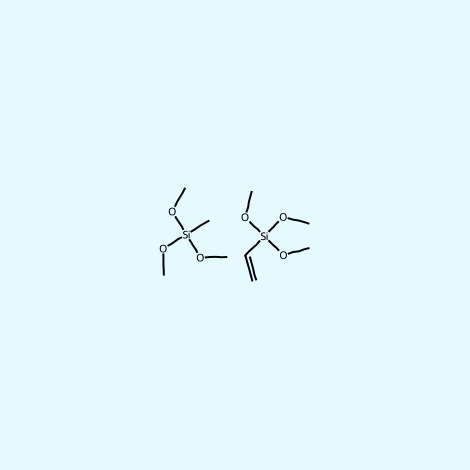 C=C[Si](OC)(OC)OC.CO[Si](C)(OC)OC